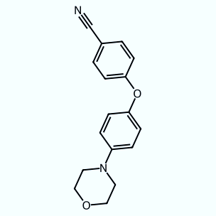 N#Cc1ccc(Oc2ccc(N3CCOCC3)cc2)cc1